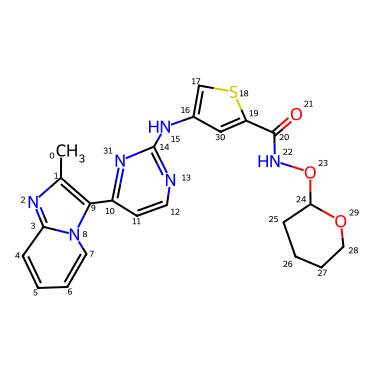 Cc1nc2ccccn2c1-c1ccnc(Nc2csc(C(=O)NOC3CCCCO3)c2)n1